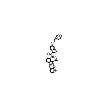 Cn1cccc(Cn2nc(C3CC3)c3c(NC(=O)c4cnc5cc(OCCN6CCOCC6)ccn45)cccc32)c1=O